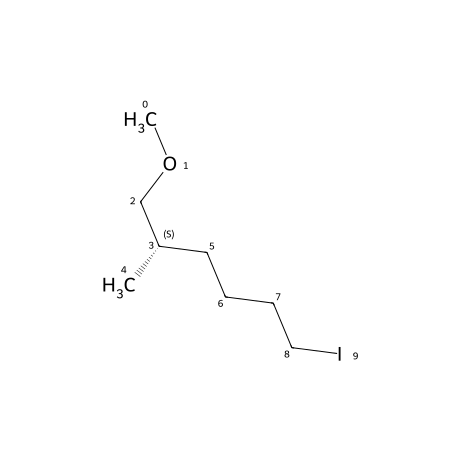 COC[C@@H](C)CCCCI